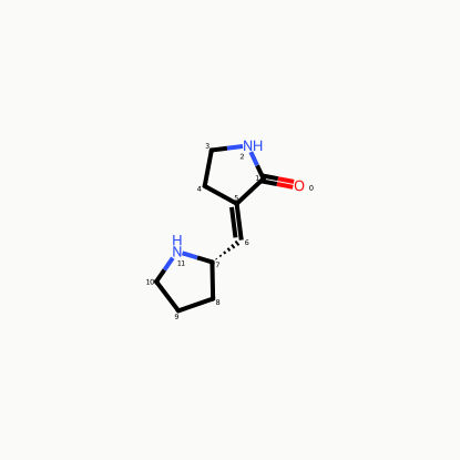 O=C1NCC/C1=C\[C@@H]1CCCN1